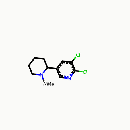 CNN1CCCCC1c1cnc(Cl)c(Cl)c1